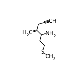 C#CCC(=C)[C@@H](N)CCSC